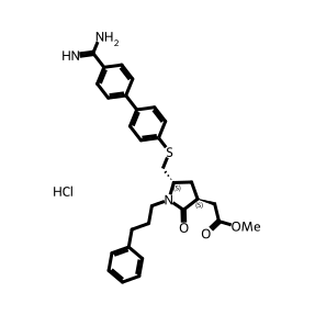 COC(=O)C[C@@H]1C[C@@H](CSc2ccc(-c3ccc(C(=N)N)cc3)cc2)N(CCCc2ccccc2)C1=O.Cl